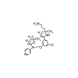 CC(C)(CCCN)NC(=O)c1cc(Cl)cc(OCCN(C(=O)OC(C)(C)C)c2ccncc2)c1